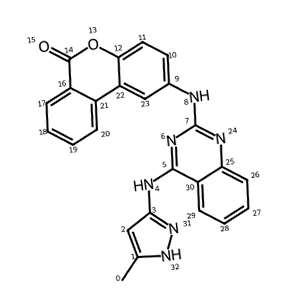 Cc1cc(Nc2nc(Nc3ccc4oc(=O)c5ccccc5c4c3)nc3ccccc23)n[nH]1